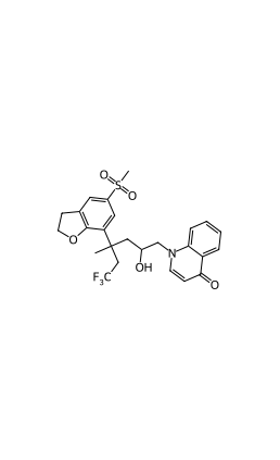 CC(CC(O)Cn1ccc(=O)c2ccccc21)(CC(F)(F)F)c1cc(S(C)(=O)=O)cc2c1OCC2